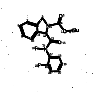 CC(C)(C)OC(=O)N1Cc2ccccc2C1C(=O)N(F)c1ccccc1F